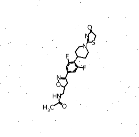 CC(=O)NCC1CC(c2cc(F)c(C3CCN(C4=NC(=O)CS4)CC3)c(F)c2)=NO1